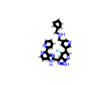 Fc1c(-c2cncc(CNCc3ccccc3)c2)cnc2[nH]nc(-c3nc4c(-c5ccccn5)nccc4[nH]3)c12